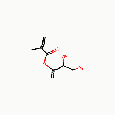 C=C(C)C(=O)OC(=C)C(O)CO